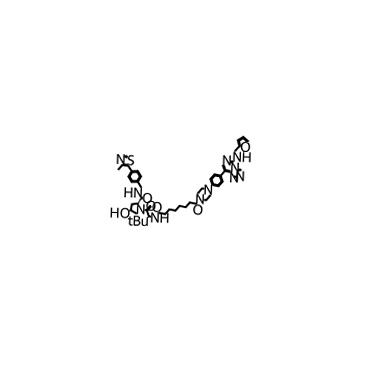 Cc1ncsc1-c1ccc(CNC(=O)[C@@H]2C[C@@H](O)CN2C(=O)[C@@H](NC(=O)CCCCCCC(=O)N2CCN(c3ccc(-c4cnc(NCc5ccco5)n5cnnc45)cc3)CC2)C(C)(C)C)cc1